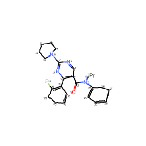 CC(C)N(C(=O)c1cnc(N2CCCCC2)nc1C1=C(F)CCC=C1)C1=CC=CCC1